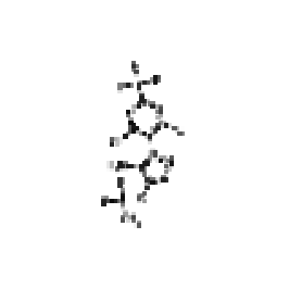 CC(F)(F)Sc1cnn(-c2c(Cl)cc(C(F)(F)F)cc2Cl)c1N